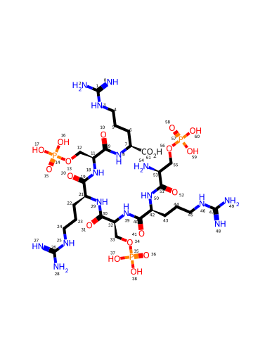 N=C(N)NCCC[C@H](NC(=O)[C@H](COP(=O)(O)O)NC(=O)[C@H](CCCNC(=N)N)NC(=O)[C@H](COP(=O)(O)O)NC(=O)[C@H](CCCNC(=N)N)NC(=O)[C@@H](N)COP(=O)(O)O)C(=O)O